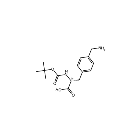 CC(C)(C)OC(=O)N[C@H](Cc1ccc(CN)cc1)C(=O)O